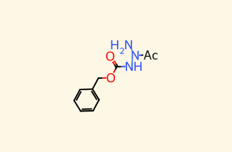 CC(=O)N(N)NC(=O)OCc1ccccc1